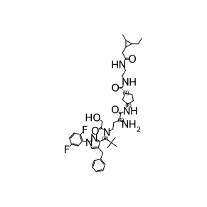 CCC1C(C)C1CC(=O)NCCNC(=O)[C@@H]1CC[C@@H](NC(=O)[C@@H](N)CCN(C(=O)CO)[C@@H](c2nn(-c3cc(F)ccc3F)cc2Cc2ccccc2)C(C)(C)C)C1